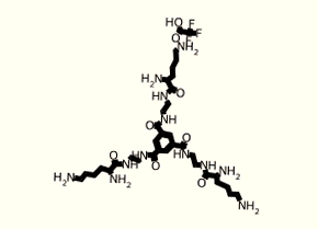 NCCCCC(N)C(=O)NCCNC(=O)c1cc(C(=O)NCCNC(=O)C(N)CCCCN)cc(C(=O)NCCNC(=O)C(N)CCCCN)c1.O=C(O)C(F)(F)F